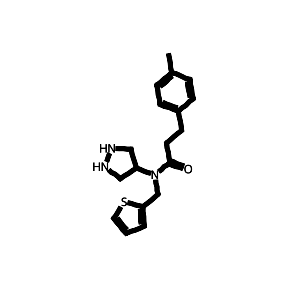 Cc1ccc(CCC(=O)N(Cc2cccs2)C2CNNC2)cc1